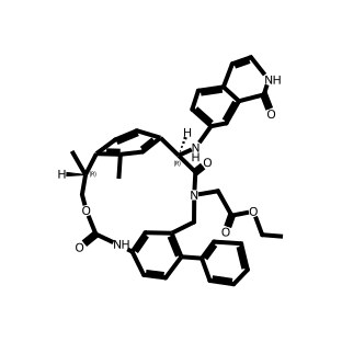 CCOC(=O)CN1Cc2cc(ccc2-c2ccccc2)NC(=O)OC[C@H](C)c2ccc(cc2C)[C@@H](Nc2ccc3cc[nH]c(=O)c3c2)C1=O